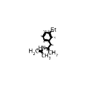 C=C(C)NC(=C)Cc1cccc(CC)c1